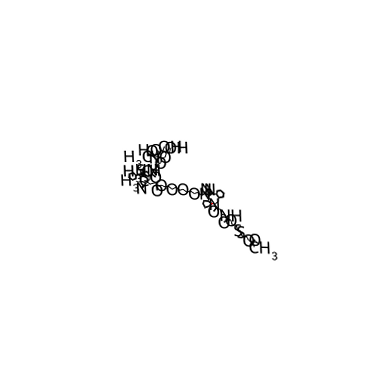 CC(=O)NC1C(OCCNC(=O)C(C)(CC(C)(C#N)CCC(=O)OCCOCCOCCOCCn2nnc3c2-c2ccccc2N(C(=O)CCNC(=O)OCCSSCCOC(C)=O)Cc2ccccc2-3)SC(=S)c2ccccc2)OC(CO)C(O)C1O